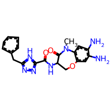 CN1C(=O)C(NC(=O)c2nnc(Cc3ccccc3)[nH]2)COc2cc(N)c(N)cc21